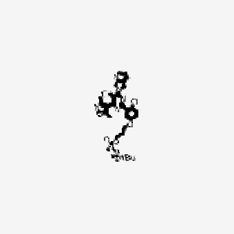 Cc1noc(C)c1-c1nc(-c2cc(OCCCOC(=O)N(C)O[Si](C)(C)C(C)(C)C)ccc2Cl)nc(N2Cc3cccnc3C2)c1Cl